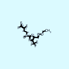 CCON=Cc1sc([S+]([O-])CCC(F)=C(F)F)nc1C(F)(F)F